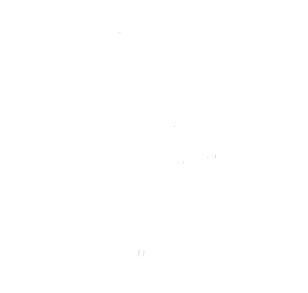 CCCCOC(=O)c1c(-c2ccc(F)cc2)sc2ccc(C)cc12